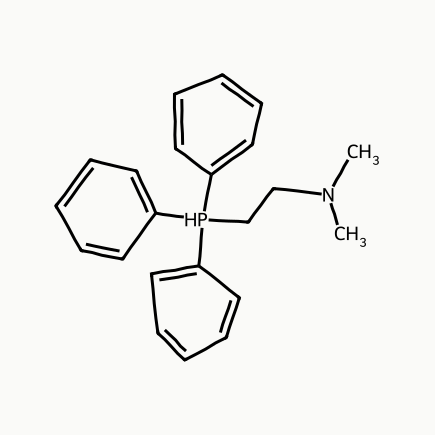 CN(C)CC[PH](c1ccccc1)(c1ccccc1)c1ccccc1